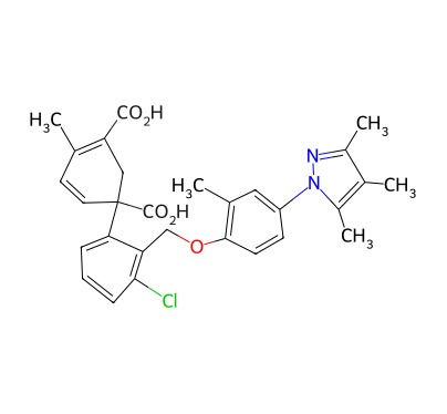 CC1=C(C(=O)O)CC(C(=O)O)(c2cccc(Cl)c2COc2ccc(-n3nc(C)c(C)c3C)cc2C)C=C1